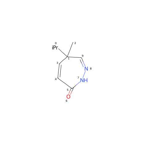 CC(C)C1(C)C=CC(=O)NN=C1